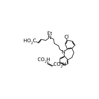 CCN(C/C=C/C(=O)O)CCCCN1c2ccccc2CCc2ccc(Cl)cc21.O=C(O)/C=C\C(=O)O